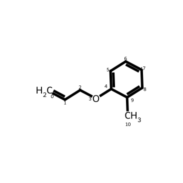 C=CCOc1cc[c]cc1C